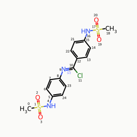 CS(=O)(=O)Nc1ccc(/N=C(\Cl)c2ccc(NS(C)(=O)=O)cc2)cc1